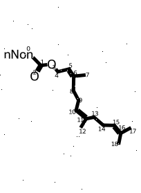 CCCCCCCCCC(=O)OCC=C(C)CCC=C(C)CCC=C(C)C